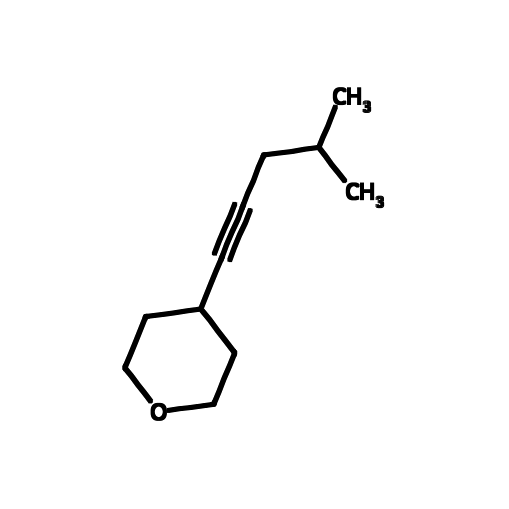 CC(C)CC#CC1CCOCC1